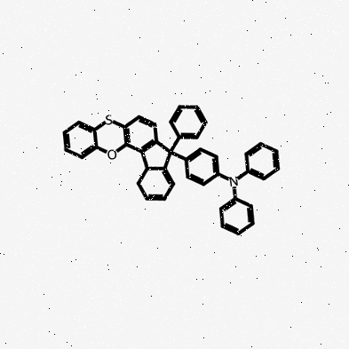 C1=CCC2C(=C1)C(c1ccccc1)(c1ccc(N(c3ccccc3)c3ccccc3)cc1)c1ccc3c(c12)Oc1ccccc1S3